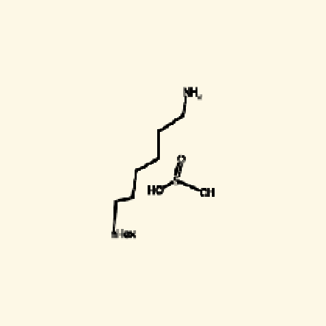 CCCCCCCCCCCCN.O=S(O)O